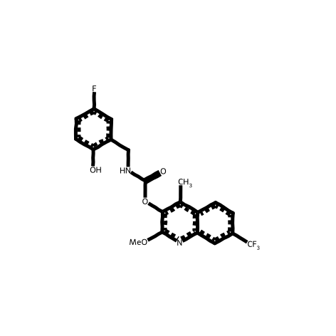 COc1nc2cc(C(F)(F)F)ccc2c(C)c1OC(=O)NCc1cc(F)ccc1O